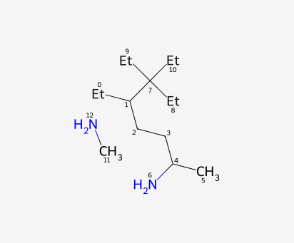 CCC(CCC(C)N)C(CC)(CC)CC.CN